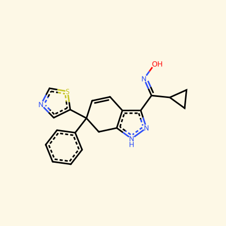 ON=C(c1n[nH]c2c1C=CC(c1ccccc1)(c1cncs1)C2)C1CC1